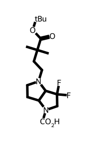 CC(C)(C)OC(=O)C(C)(C)CCN1CCC2C1C(F)(F)CN2C(=O)O